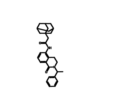 CC(c1ccccc1)N1CCc2c(NC(=O)CC34CC5CC(CC(C5)C3)C4)cccc2C1=O